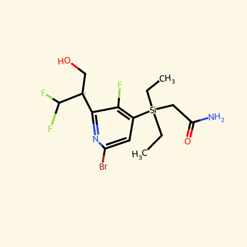 CC[Si](CC)(CC(N)=O)c1cc(Br)nc([C](CO)C(F)F)c1F